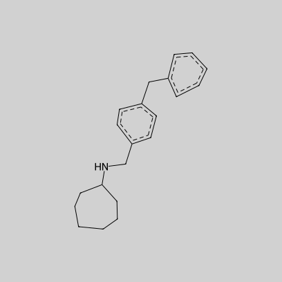 c1ccc(Cc2ccc(CNC3CCCCCC3)cc2)cc1